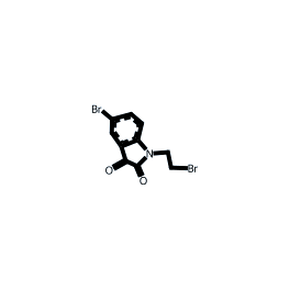 O=C1C(=O)N(CCBr)c2ccc(Br)cc21